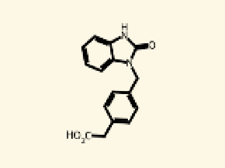 O=C(O)Cc1ccc(Cn2c(=O)[nH]c3ccccc32)cc1